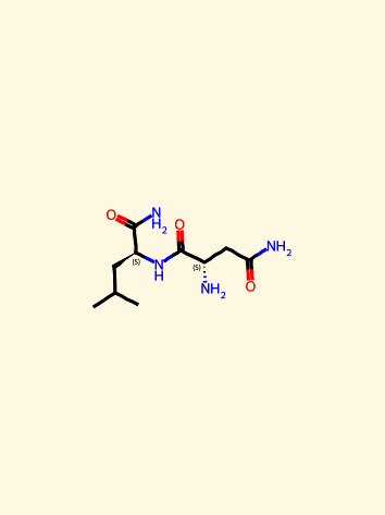 CC(C)C[C@H](NC(=O)[C@@H](N)CC(N)=O)C(N)=O